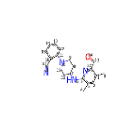 Cc1cc(C)c(NC2CCN(c3ccccc3C#N)CC2)nc1C=O